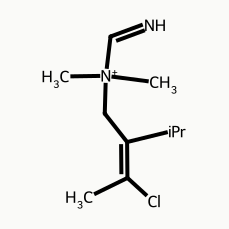 C/C(Cl)=C(\C[N+](C)(C)C=N)C(C)C